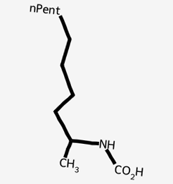 CCCCCCCCCC(C)NC(=O)O